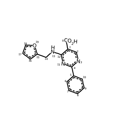 O=C(O)c1cnc(-c2ccccc2)nc1NCc1ccco1